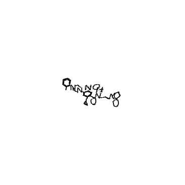 Cc1ccccc1N1CCN(c2cc(C3CC3)c(C(=O)NCCCN3CCCC3=O)cc2[N+](=O)[O-])CC1